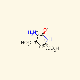 NC1C(=O)N[C@H](C(=O)O)CC1C(=O)O